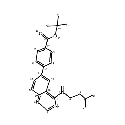 CC(C)CCNc1ncnc2ccc(-c3ccc(C(=O)OC(C)(C)C)cc3)cc12